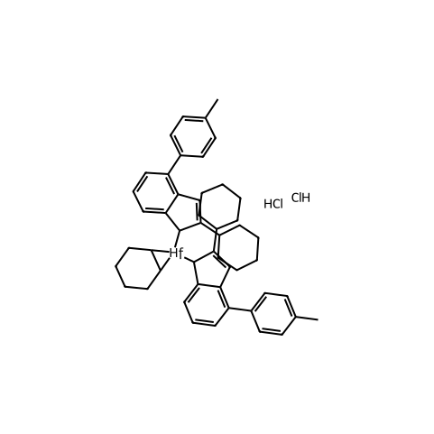 Cc1ccc(-c2cccc3c2C=C(C2CCCCC2)[CH]3[Hf]2([CH]3C(C4CCCCC4)=Cc4c(-c5ccc(C)cc5)cccc43)[CH]3CCCC[CH]32)cc1.Cl.Cl